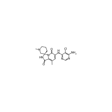 Cc1cc(Nc2ncnc(N)c2Cl)c(=O)n2c1C(=O)N[C@@]21CCCN(C)C1